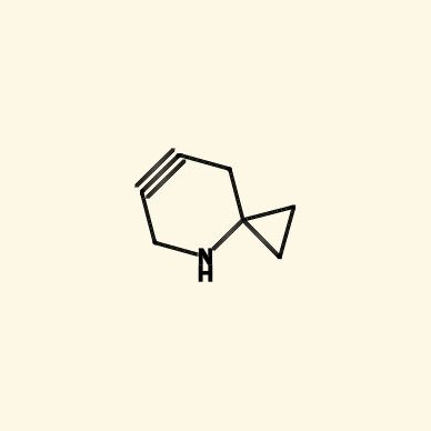 C1#CCC2(CC2)NC1